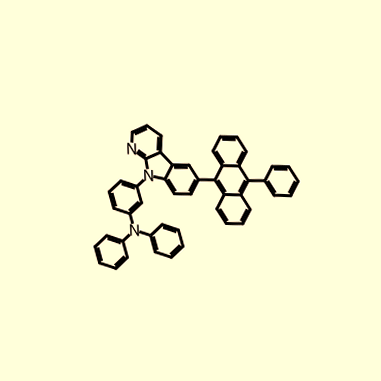 c1ccc(-c2c3ccccc3c(-c3ccc4c(c3)c3cccnc3n4-c3cccc(N(c4ccccc4)c4ccccc4)c3)c3ccccc23)cc1